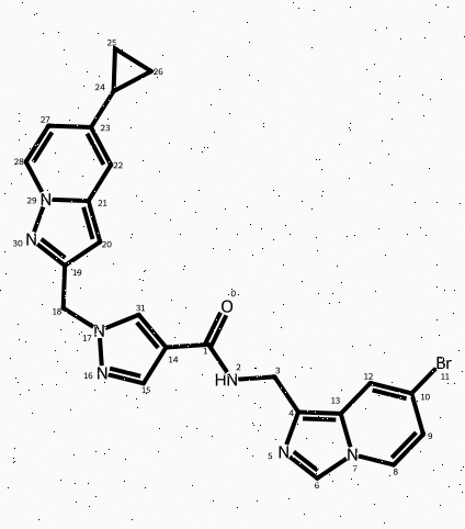 O=C(NCc1ncn2ccc(Br)cc12)c1cnn(Cc2cc3cc(C4CC4)ccn3n2)c1